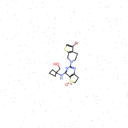 [O-][S@+]1CCc2nc(N3CCc4c(Br)csc4C3)nc(NC3(CO)CCC3)c21